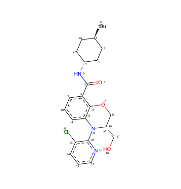 CC(C)(C)[C@H]1CC[C@H](NC(=O)c2cccc3c2OC[C@H](CO)N3c2ncccc2Cl)CC1